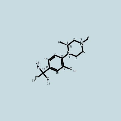 C[C@H]1CN(C)CCN1c1ccc(C(F)(F)F)cc1F